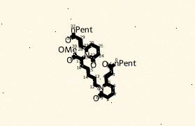 CCCCCC(=O)C=CC1CCCC(=O)N1CCCCCC(C(=O)OC)N1C(=O)CCCC1C=CC(=O)CCCCC